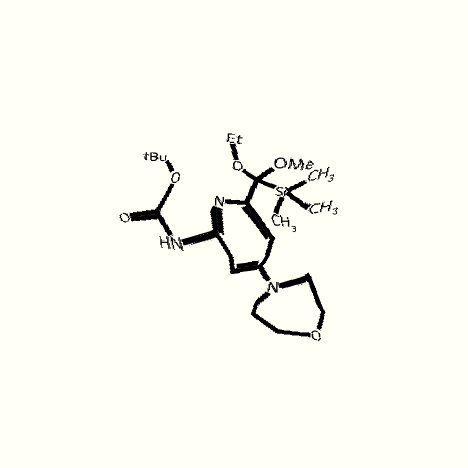 CCOC(OC)(c1cc(N2CCOCC2)cc(NC(=O)OC(C)(C)C)n1)[Si](C)(C)C